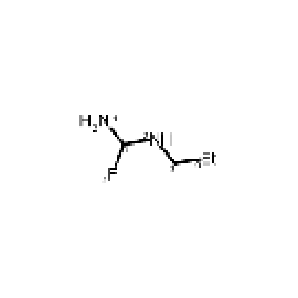 CCCNC(N)F